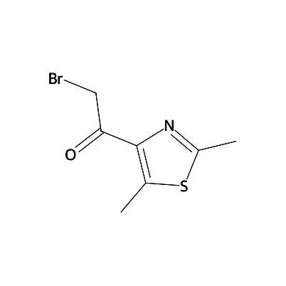 Cc1nc(C(=O)CBr)c(C)s1